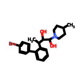 CC1CCN(C(O)C(O)C(C)c2ccccc2-c2ccc(Br)cc2)CC1